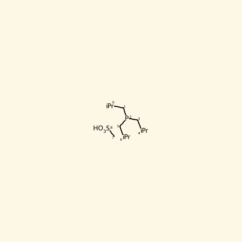 CC(C)CP(CC(C)C)CC(C)C.CS(=O)(=O)O